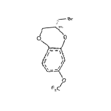 FC(F)(F)Oc1ccc2c(c1)O[C@@H](CBr)CO2